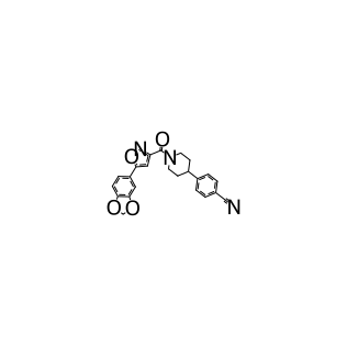 N#Cc1ccc(C2CCN(C(=O)c3cc(-c4ccc5c(c4)OCO5)on3)CC2)cc1